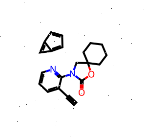 C#Cc1cccnc1N1CC2(CCCCC2)OC1=O.c1cc2cc-2c1